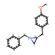 COc1ccc(C[C@H]2CN2Cc2ccccc2)cc1